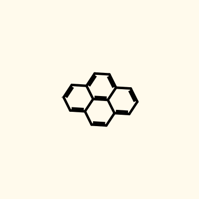 [c]1cc2ccc3cccc4ccc(c1)c2c34